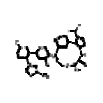 C[C@@H]1CCC[C@H](n2cnc(-c3cc(F)ccc3-n3cc(C(F)(F)F)nn3)cc2=O)c2cc(ccn2)-c2c(cnn2C(F)F)NC1=O